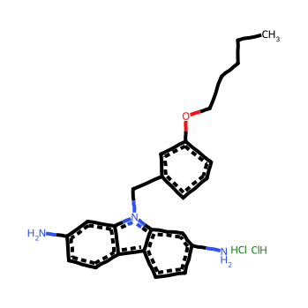 CCCCCOc1cccc(Cn2c3cc(N)ccc3c3ccc(N)cc32)c1.Cl.Cl